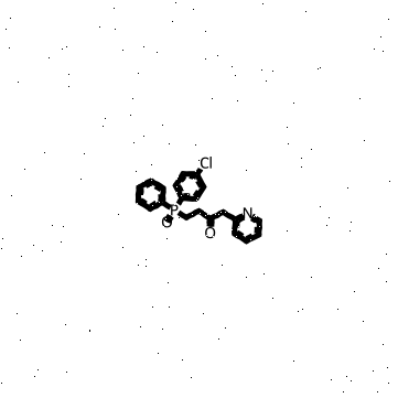 O=C(CCP(=O)(c1ccccc1)c1ccc(Cl)cc1)Cc1ccccn1